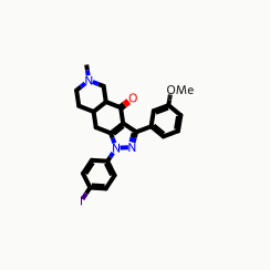 COc1cccc(-c2nn(-c3ccc(I)cc3)c3c2C(=O)C2CN(C)CCC2C3)c1